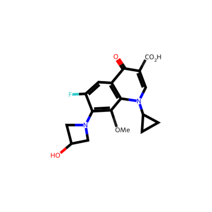 COc1c(N2CC(O)C2)c(F)cc2c(=O)c(C(=O)O)cn(C3CC3)c12